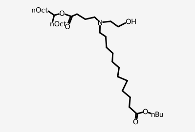 CCCCCCCCC(CCCCCCCC)OC(=O)CCCN(CCO)CCCCCCCCCCCC(=O)OCCCC